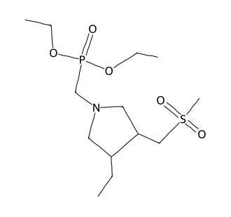 CCOP(=O)(CN1CC(CC)C(CS(C)(=O)=O)C1)OCC